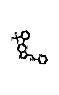 FC(F)(F)c1ccccc1-c1ccc2ncc(CNc3ccccn3)n2n1